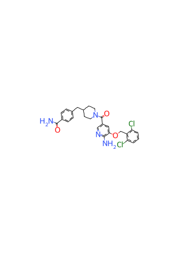 NC(=O)c1ccc(CC2CCN(C(=O)c3cnc(N)c(OCc4c(Cl)cccc4Cl)c3)CC2)cc1